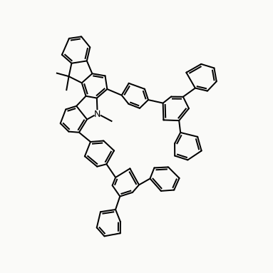 Cn1c2c(-c3ccc(-c4cc(-c5ccccc5)cc(-c5ccccc5)c4)cc3)cccc2c2c3c(cc(-c4ccc(-c5cc(-c6ccccc6)cc(-c6ccccc6)c5)cc4)c21)-c1ccccc1C3(C)C